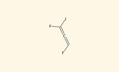 FC=C=C(F)I